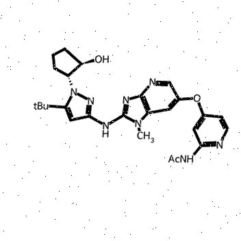 CC(=O)Nc1cc(Oc2cnc3nc(Nc4cc(C(C)(C)C)n([C@@H]5CCC[C@H]5O)n4)n(C)c3c2)ccn1